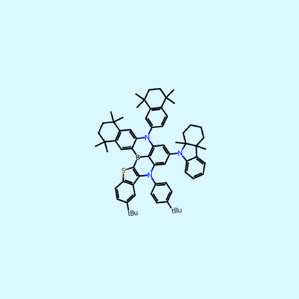 CC(C)(C)c1ccc(N2c3cc(N4c5ccccc5C5(C)CCCCC45C)cc4c3B(c3cc5c(cc3N4c3ccc4c(c3)C(C)(C)CCC4(C)C)C(C)(C)CCC5(C)C)c3sc4ccc(C(C)(C)C)cc4c32)cc1